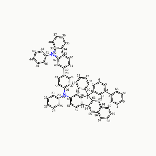 c1ccc(-c2cccc(C3(c4ccccc4)c4cc(N(c5ccccc5)c5ccc(-c6ccc7c8ccccc8n(-c8ccccc8)c7c6)cc5)ccc4-c4cc5ccccc5cc43)c2)cc1